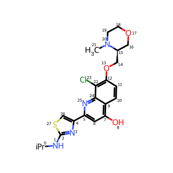 CC(C)Nc1nc(-c2cc(O)c3ccc(OC[C@@H]4COCCN4C)c(Cl)c3n2)cs1